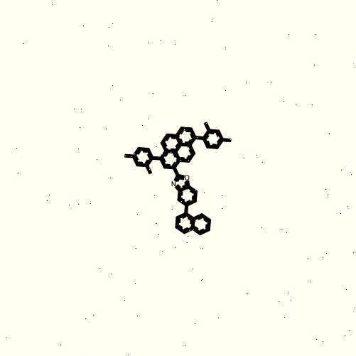 Cc1ccc(-c2ccc3ccc4c(-c5ccc(C)cc5C)cc(-c5nc6cc(-c7cccc8ccccc78)ccc6o5)c5ccc2c3c54)c(C)c1